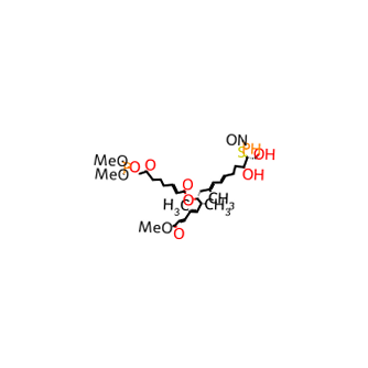 COC(=O)/C=C/C(C)=C/[C@@H](C)[C@@H](C/C(C)=C/C=C/CC[C@@H](O)[C@@H](CO)SPN=O)OC(=O)/C=C/CCCC(=O)COP(OC)OC